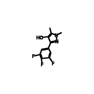 Cc1c(O)c(-c2cc(F)c(F)c(F)c2)nn1C